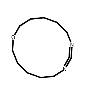 C1=NCCCCCOCCCCCN=1